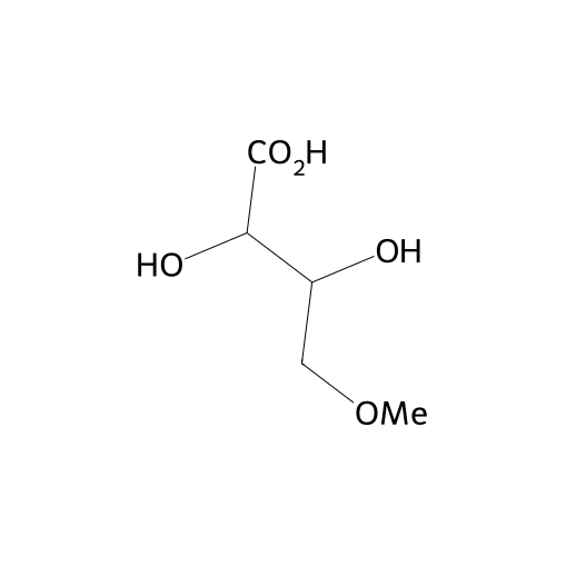 COCC(O)C(O)C(=O)O